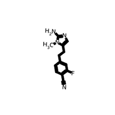 Cn1c(CCc2ccc(C#N)c(F)c2)cnc1N